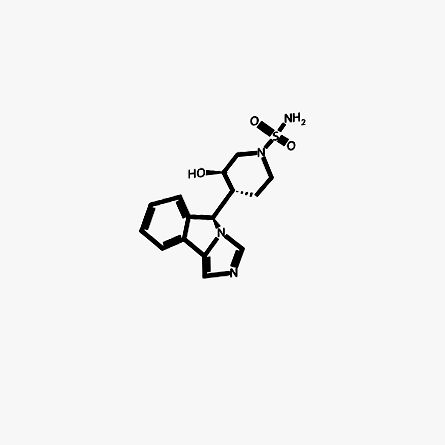 NS(=O)(=O)N1CC[C@H]([C@@H]2c3ccccc3-c3cncn32)[C@@H](O)C1